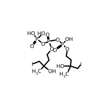 CC(O)(CI)CCOP(=O)(O)OP(=O)(OCCC(C)(O)CI)OP(=O)(O)O